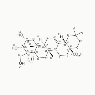 CC1(C)CC[C@]2(C(=O)O)CCC3C(=CC[C@@H]4[C@@]5(C)C[C@@H](O)[C@@H](O)[C@](C)(CO)[C@@H]5CC[C@@]34C)[C@@H]2C1